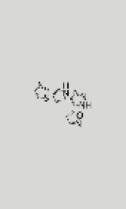 c1c[nH]nn1.c1cc[nH]c1.c1cnoc1.c1cscn1